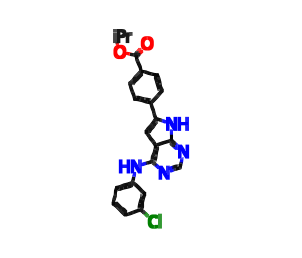 CC(C)OC(=O)c1ccc(-c2cc3c(Nc4cccc(Cl)c4)ncnc3[nH]2)cc1